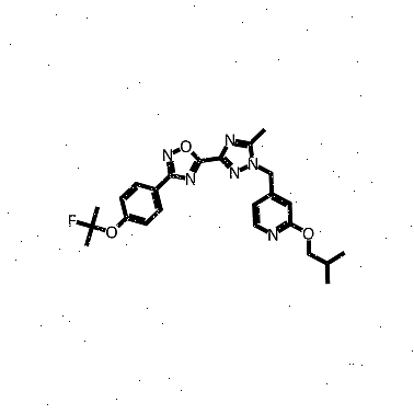 Cc1nc(-c2nc(-c3ccc(OC(C)(C)F)cc3)no2)nn1Cc1ccnc(OCC(C)C)c1